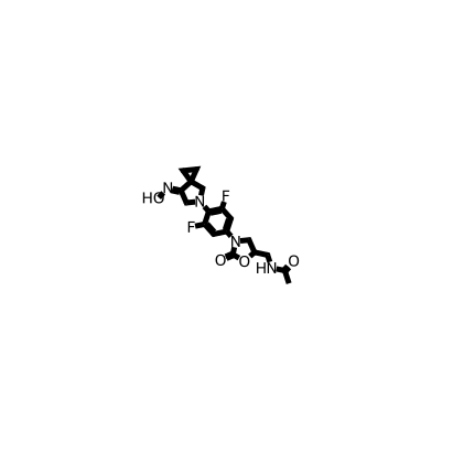 CC(=O)NCC1CN(c2cc(F)c(N3CC(=NO)C4(CC4)C3)c(F)c2)C(=O)O1